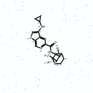 C[C@H]1[C@H](NC(=O)c2cc3c(NC4CC4)coc3cn2)C2CCN1CC2